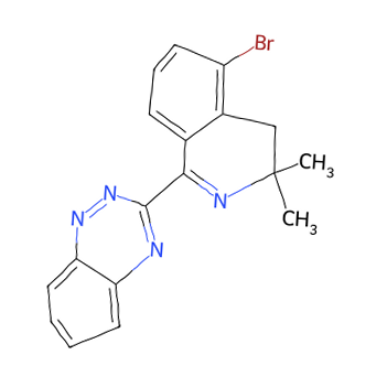 CC1(C)Cc2c(Br)cccc2C(c2nnc3ccccc3n2)=N1